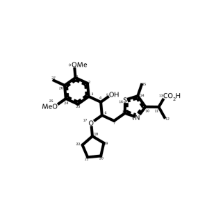 COc1cc(C(O)C(Cc2nc(C(C)C(=O)O)c(C)s2)OC2CCCC2)cc(OC)c1C